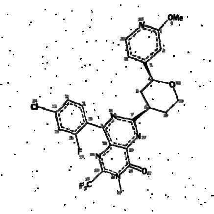 COc1cc([C@@H]2C[C@H](c3nc(-c4ccc(Cl)cc4F)c4nc(C(F)(F)F)n(C)c(=O)c4n3)CCO2)ccn1